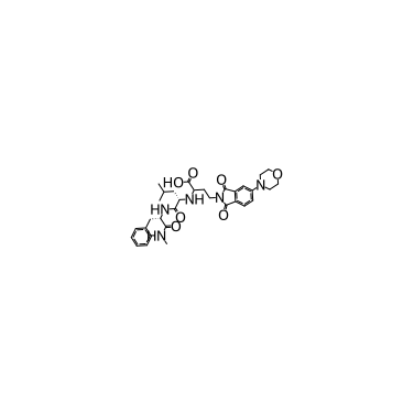 CNC(=O)[C@H](Cc1ccccc1)NC(=O)[C@H](CC(C)C)NC(CCN1C(=O)c2ccc(N3CCOCC3)cc2C1=O)C(=O)O